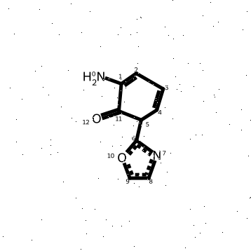 NC1=CC=CC(c2ncco2)C1=O